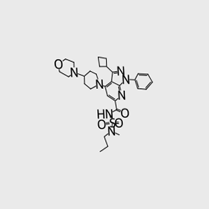 CCCN(C)S(=O)(=O)NC(=O)c1cc(N2CCC(N3CCOCC3)CC2)c2c(C3CCC3)nn(-c3ccccc3)c2n1